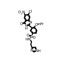 CCCOc1ccc(S(=O)(=O)NCCc2c[nH]cn2)cc1-c1nc2cc(Cl)c([N+](=O)[O-])cc2c(=O)[nH]1